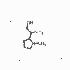 C[C@H](CO)C1CCCN1C